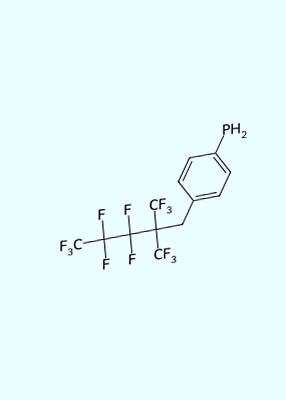 FC(F)(F)C(F)(F)C(F)(F)C(Cc1ccc(P)cc1)(C(F)(F)F)C(F)(F)F